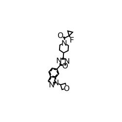 O=C(N1CCC(c2noc(-c3ccc4cnn(C5COC5)c4c3)n2)CC1)C1(F)CC1